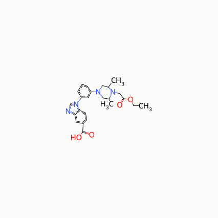 CCOC(=O)CN1C(C)CN(c2cccc(-n3cnc4cc(C(=O)O)ccc43)c2)CC1C